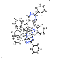 c1ccc(-c2nc(-c3ccccc3)nc(-n3c4ccccc4c4c5nc(-c6ccccc6)ncc5c5c(c43)C3(c4ccccc4-c4ccccc43)c3ccccc3-5)n2)cc1